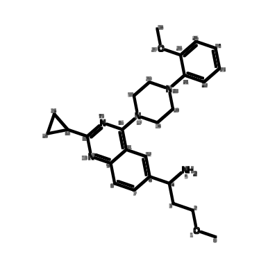 COCCC(N)c1ccc2nc(C3CC3)nc(N3CCN(c4ccccc4OC)CC3)c2c1